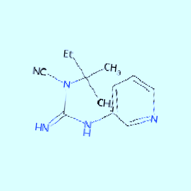 CCC(C)(C)N(C#N)C(=N)Nc1cccnc1